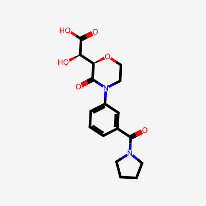 O=C(O)[C@H](O)[C@H]1OCCN(c2cccc(C(=O)N3CCCC3)c2)C1=O